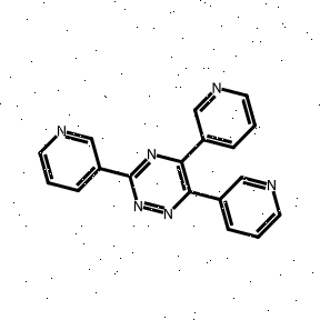 c1cncc(-c2nnc(-c3cccnc3)c(-c3cccnc3)n2)c1